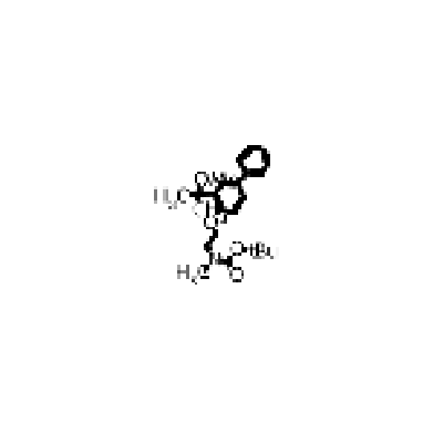 COC(C)(C)c1cc(-c2ccccc2)ccc1OCCN(C)C(=O)OC(C)(C)C